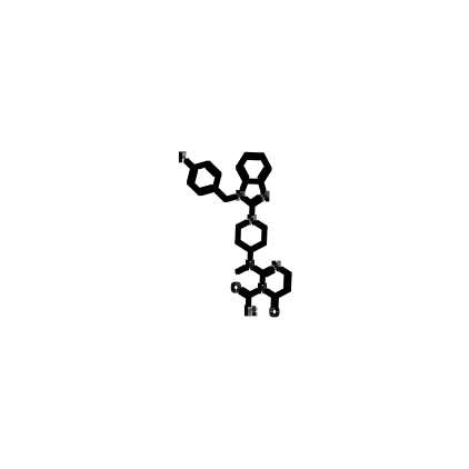 CCC(=O)n1c(N(C)C2CCN(c3nc4ccccc4n3Cc3ccc(F)cc3)CC2)nccc1=O